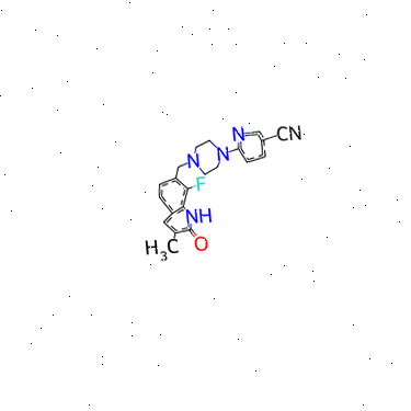 Cc1cc2ccc(CN3CCN(c4ccc(C#N)cn4)CC3)c(F)c2[nH]c1=O